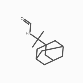 CC(C)(N[C]=O)C12CC3CC(CC(C3)C1)C2